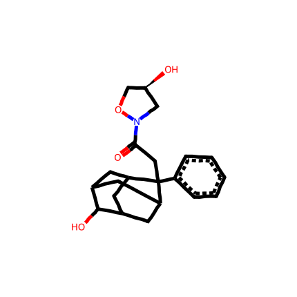 O=C(CC1(c2ccccc2)C2CC3CC1CC(C2)C3O)N1C[C@H](O)CO1